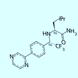 CC(C)C[C@H](N[C@@H](c1ccc(-c2cnccn2)cc1)C(F)(F)F)C(N)=O